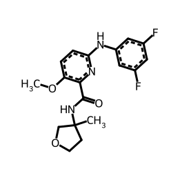 COc1ccc(Nc2cc(F)cc(F)c2)nc1C(=O)NC1(C)CCOC1